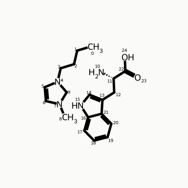 CCCCN1C=CN(C)C1.N[C@@H](Cc1c[nH]c2ccccc12)C(=O)O